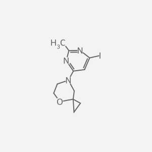 Cc1nc(I)cc(N2CCOC3(CC3)C2)n1